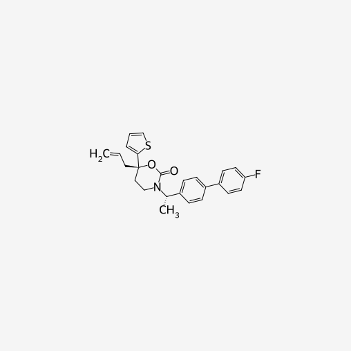 C=CC[C@]1(c2cccs2)CCN([C@@H](C)c2ccc(-c3ccc(F)cc3)cc2)C(=O)O1